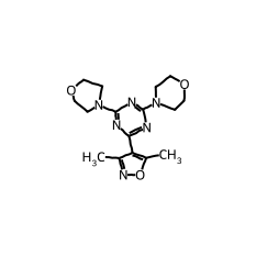 Cc1noc(C)c1-c1nc(N2CCOCC2)nc(N2CCOCC2)n1